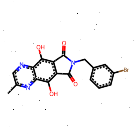 Cc1cnc2c(O)c3c(c(O)c2n1)C(=O)N(Cc1cccc(Br)c1)C3=O